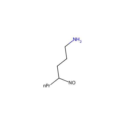 CCCC(CCCN)N=O